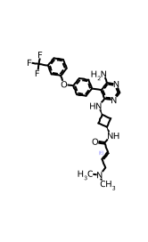 CN(C)C/C=C/C(=O)N[C@H]1C[C@@H](Nc2ncnc(N)c2-c2ccc(Oc3cccc(C(F)(F)F)c3)cc2)C1